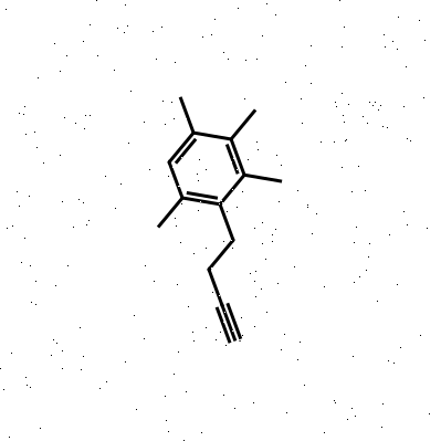 [C]#CCCc1c(C)cc(C)c(C)c1C